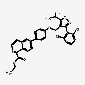 CCOC(=O)c1nccc2cc(-c3ccc(OCc4c(-c5c(Cl)cccc5Cl)noc4C(C)C)cc3)ccc12